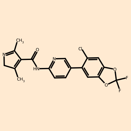 CC1=NCC(C)=C1C(=O)Nc1ccc(-c2cc3c(cc2Cl)OC(F)(F)O3)cn1